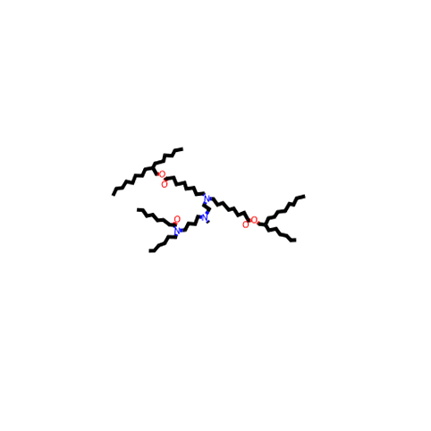 CCCCCCCCC(CCCCCC)COC(=O)CCCCCCCN(CCCCCCCC(=O)OCC(CCCCCC)CCCCCCCC)CCN(C)CCCCN(CCCCCC)C(=O)CCCCCCC